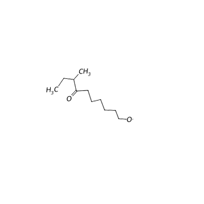 CCC(C)C(=O)CCCCCC[O]